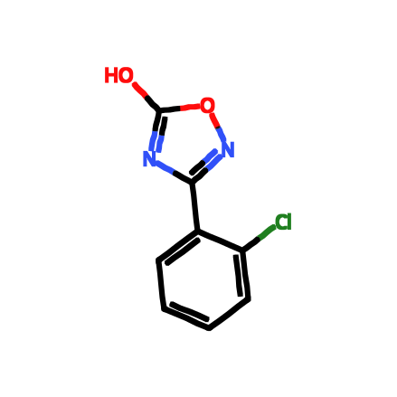 Oc1nc(-c2ccccc2Cl)no1